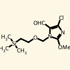 COc1nc(Cl)c(C=O)n1COCC[Si](C)(C)C